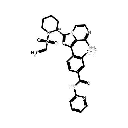 C=CS(=O)(=O)N1CCCC[C@H]1c1nc(-c2ccc(C(=O)Nc3ccccn3)cc2C)c2c(N)nccn12